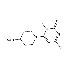 COC1CCN(c2cc(Cl)nc(=O)n2C)CC1